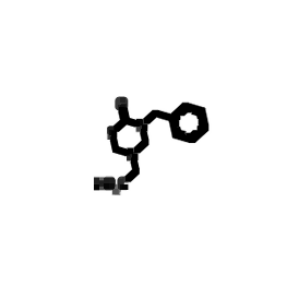 O=C(O)CN1CSC(=O)N(Cc2ccccc2)C1